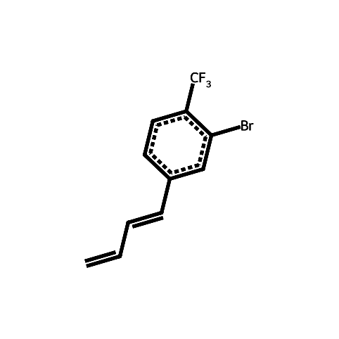 C=C/C=C/c1ccc(C(F)(F)F)c(Br)c1